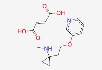 CNC1(CCOc2cccnc2)CC1.O=C(O)/C=C/C(=O)O